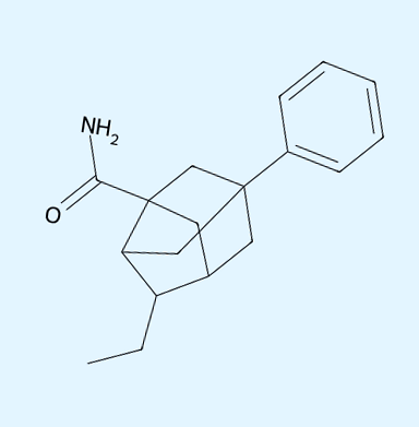 CCC1C2CC3(c4ccccc4)CC1C(C(N)=O)(C2)C3